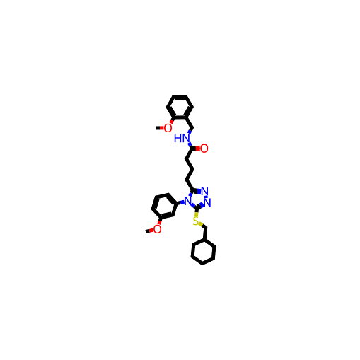 COc1cccc(-n2c(CCCC(=O)NCc3ccccc3OC)nnc2SCC2CCCCC2)c1